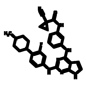 CN1CCN(c2ccc(Nc3nc(Nc4cccc(NC(=O)C5(C#N)CC5)c4)c4cc[nH]c4n3)cc2F)CC1